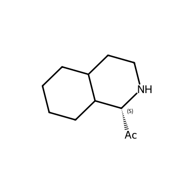 CC(=O)[C@H]1NCCC2CCCCC21